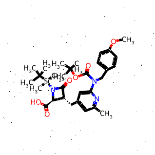 COc1ccc(CN(C(=O)OC(C)(C)C)c2cc(C[C@H]3C(=O)N([Si](C)(C)C(C)(C)C)[C@@H]3C(=O)O)cc(C)n2)cc1